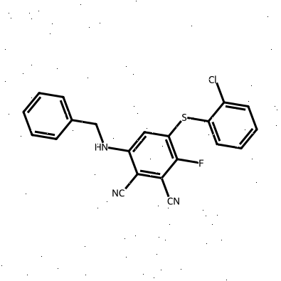 N#Cc1c(NCc2ccccc2)cc(Sc2ccccc2Cl)c(F)c1C#N